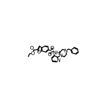 CCOC(=O)c1cc2ccc(S(=O)(=O)Nc3cccnc3N3CCN(Cc4ccccc4)CC3)cc2o1